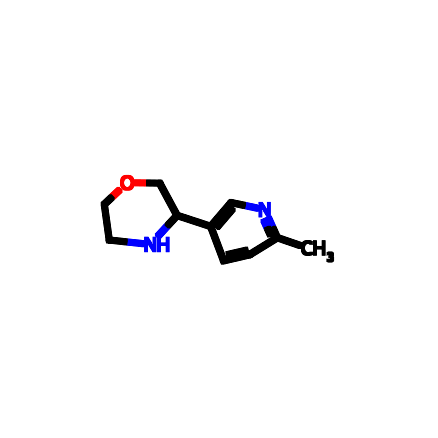 Cc1ccc(C2COCCN2)cn1